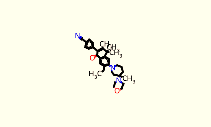 CCc1cc2c(cc1N1CCCC(C)(N3CCOCC3)CC1)C(C)(C)C(C)=C(c1ccc(C#N)cc1)C2=O